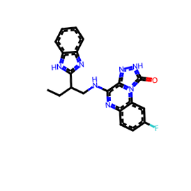 CCC(CNc1nc2ccc(F)cc2n2c(=O)[nH]nc12)c1nc2ccccc2[nH]1